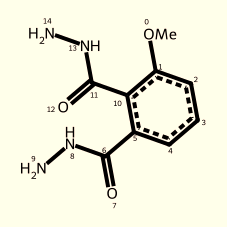 COc1cccc(C(=O)NN)c1C(=O)NN